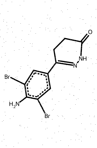 Nc1c(Br)cc(C2=NNC(=O)CC2)cc1Br